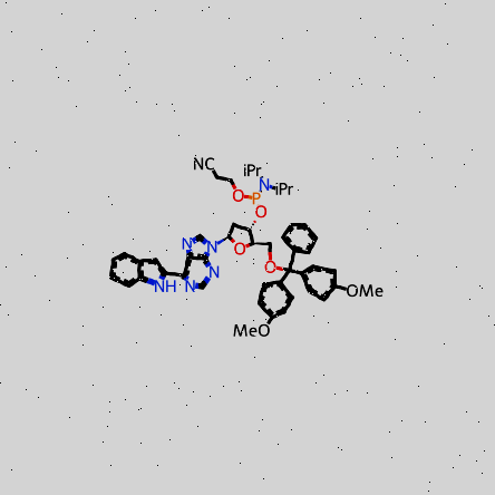 COc1ccc(C(OC[C@H]2O[C@@H](n3cnc4c(-c5cc6ccccc6[nH]5)ncnc43)C[C@@H]2OP(OCCC#N)N(C(C)C)C(C)C)(c2ccccc2)c2ccc(OC)cc2)cc1